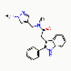 CC(C)N(Cc1cnn(C)c1)C(=O)Cc1c(-c2ccccc2)[nH]c2ccccc12